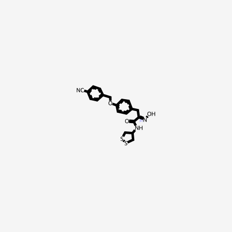 N#Cc1ccc(COc2ccc(C/C(=N\O)C(=O)NC3CSSC3)cc2)cc1